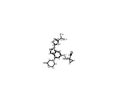 CC1CN(c2cc(SNC3(C#N)CC3)cc3c2cnn3-c2nnc(C(F)F)s2)CCO1